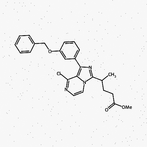 COC(=O)CCC(C)c1nc(-c2cccc(OCc3ccccc3)c2)c2c(Cl)nccn12